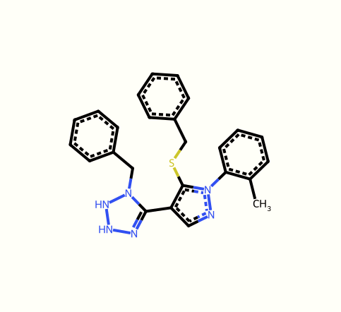 Cc1ccccc1-n1ncc(C2=NNNN2Cc2ccccc2)c1SCc1ccccc1